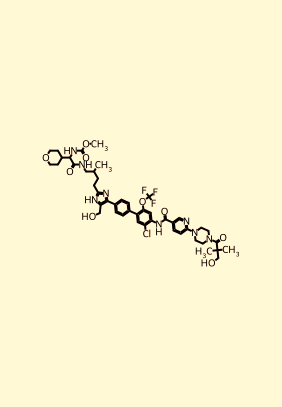 COC(=O)NC(C(=O)NCC(C)CCc1nc(-c2ccc(-c3cc(Cl)c(NC(=O)c4ccc(N5CCN(C(=O)C(C)(C)CO)CC5)nc4)cc3OC(F)(F)F)cc2)c(CO)[nH]1)C1CCOCC1